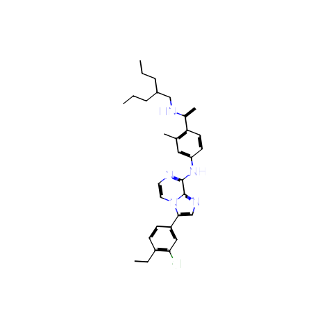 C=C(NCC(CCC)CCC)c1ccc(Nc2nccn3c(-c4ccc(CC)c(Cl)c4)cnc23)cc1C